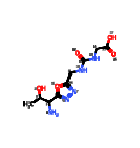 CC(O)C(N)c1nnc(CNC(=O)NCC(=O)O)o1